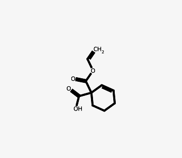 C=COC(=O)C1(C(=O)O)C=CCCC1